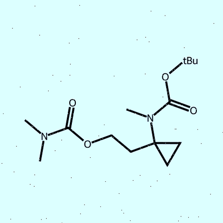 CN(C)C(=O)OCCC1(N(C)C(=O)OC(C)(C)C)CC1